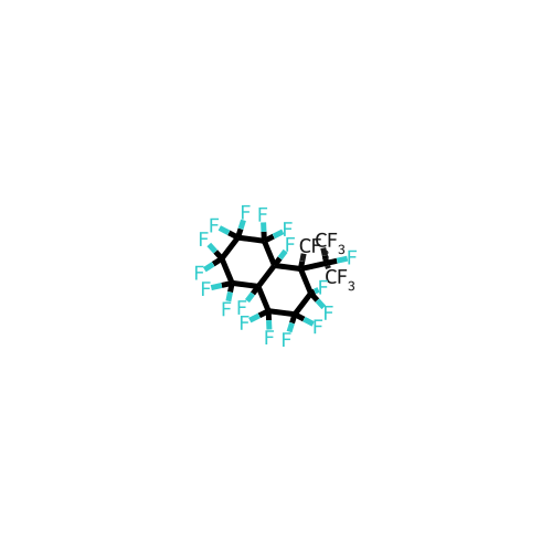 FC(F)(F)C(F)(C(F)(F)F)C1(C(F)(F)F)C(F)(F)C(F)(F)C(F)(F)C2(F)C(F)(F)C(F)(F)C(F)(F)C(F)(F)C21F